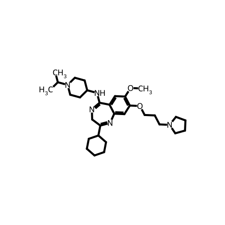 COc1cc2c(cc1OCCCN1CCCC1)N=C(C1CCCCC1)CN=C2NC1CCN(C(C)C)CC1